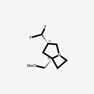 COC[C@@]12CCN1C[C@@H](C(F)F)C2